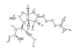 C=C[C@H](O)C(C)C(C#CCC)[C@@H]1[C@@H]2[C@H](C[C@H]1O)OC(=CCCCC(=O)OC)C2(F)F